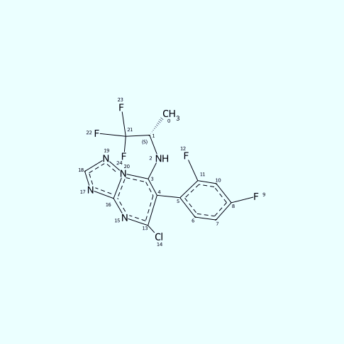 C[C@H](Nc1c(-c2ccc(F)cc2F)c(Cl)nc2ncnn12)C(F)(F)F